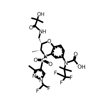 Cc1nn(C(F)F)cc1S(=O)(=O)N1c2cc(N(C(=O)O)C(C)(C)C(F)(F)F)ccc2O[C@@H](CNC(=O)C(C)(C)O)[C@H]1C